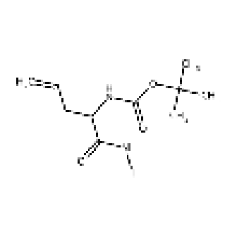 C=CCC(NC(=O)OC(C)(C)C)C(=O)NI